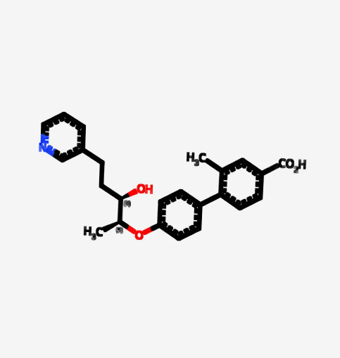 Cc1cc(C(=O)O)ccc1-c1ccc(O[C@@H](C)[C@H](O)CCc2cccnc2)cc1